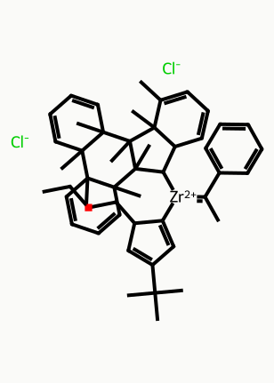 CCCCC1C=C(C(C)(C)C)C=[C]1/[Zr+2](=[C](\C)c1ccccc1)[CH]1C2C=CC=C(C)C2(C)C2(C)C3(C)C=CC=CC3(C)C3(C)C=CC=CC3(C)C12C.[Cl-].[Cl-]